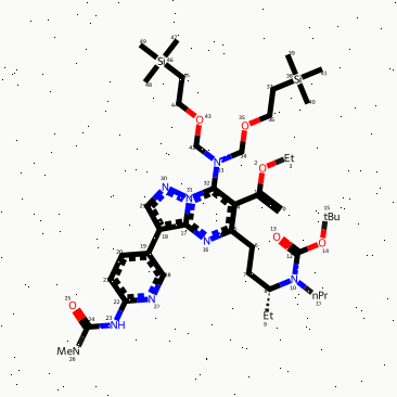 C=C(OCC)c1c(CC[C@@H](CC)N(CCC)C(=O)OC(C)(C)C)nc2c(-c3ccc(NC(=O)NC)nc3)cnn2c1N(COCC[Si](C)(C)C)COCC[Si](C)(C)C